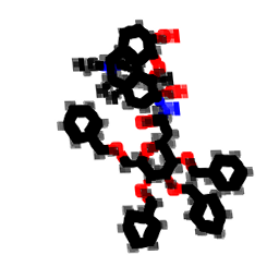 CN1CC[C@]23c4c5ccc(O)c4O[C@H]2[C@](O)(NC(=O)C[C@@H]2O[C@H](COCc4ccccc4)[C@@H](OCc4ccccc4)[C@H](OCc4ccccc4)[C@H]2OCc2ccccc2)CC[C@H]3[C@H]1C5